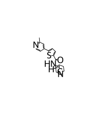 Cc1cc(-c2ccc(C(=O)N[C@H]3CN4CCC3CC4)s2)ccn1